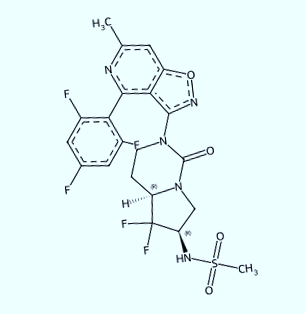 Cc1cc2onc(N3CC[C@H]4N(C[C@@H](NS(C)(=O)=O)C4(F)F)C3=O)c2c(-c2c(F)cc(F)cc2F)n1